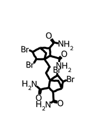 NC(=O)C1C2CC(CCC34CC(C(Br)C3Br)C(C(N)=O)C4C(N)=O)(C(Br)C2Br)C1C(N)=O